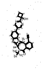 [2H]C([2H])([2H])N1C(=O)c2cccc(C#C)c2[C@H]2C[C@@H]1c1nc3ccc(-c4cnc(C5(O)CCC5)nc4)cc3n12